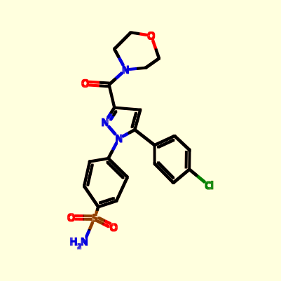 NS(=O)(=O)c1ccc(-n2nc(C(=O)N3CCOCC3)cc2-c2ccc(Cl)cc2)cc1